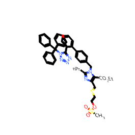 CCCc1nc(CSCCOS(C)(=O)=O)c(C(=O)OCC)n1Cc1ccc(-c2ccccc2-c2nnnn2C(c2ccccc2)(c2ccccc2)c2ccccc2)cc1